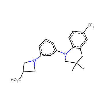 CC1(C)Cc2cc(C(F)(F)F)ccc2N(c2cccc(N3CC(C(=O)O)C3)c2)C1